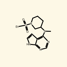 CCS(=O)(=O)N1CCCC(N(C)c2ncnc3[nH]ccc23)C1